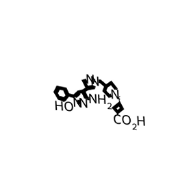 Nc1nnc(-c2ccccc2O)cc1-c1cnn(CC2CCN(C[C@H]3C[C@@H](C(=O)O)C3)CC2)c1